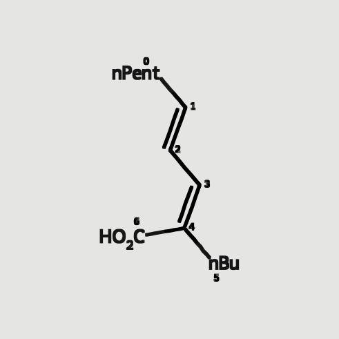 CCCCCC=CC=C(CCCC)C(=O)O